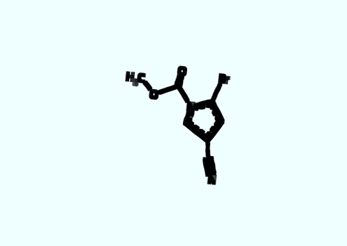 COC(=O)n1cc(C#N)cc1Br